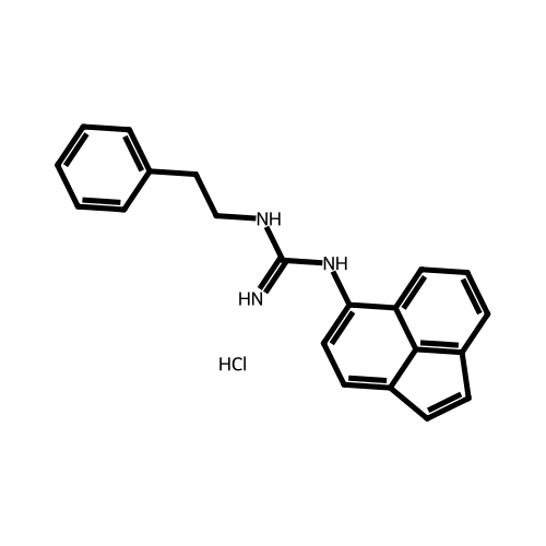 Cl.N=C(NCCc1ccccc1)Nc1ccc2c3c(cccc13)C=C2